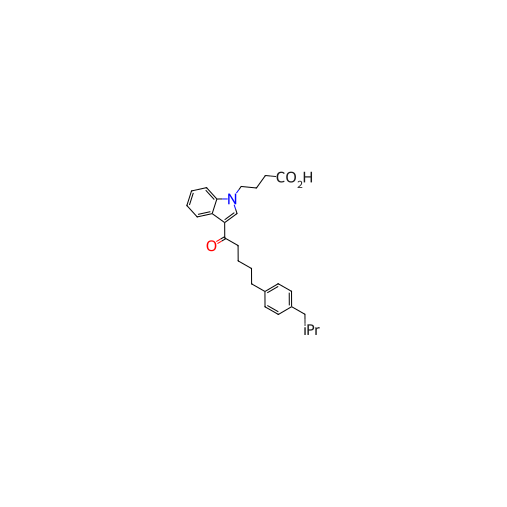 CC(C)Cc1ccc(CCCCC(=O)c2cn(CCCC(=O)O)c3ccccc23)cc1